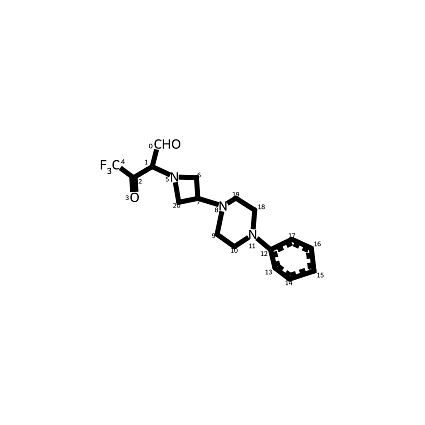 O=CC(C(=O)C(F)(F)F)N1CC(N2CCN(c3ccccc3)CC2)C1